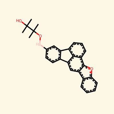 CC(C)(O)C(C)(C)OBc1ccc2c(c1)-c1cccc3c1c-2cc1c2ccccc2oc31